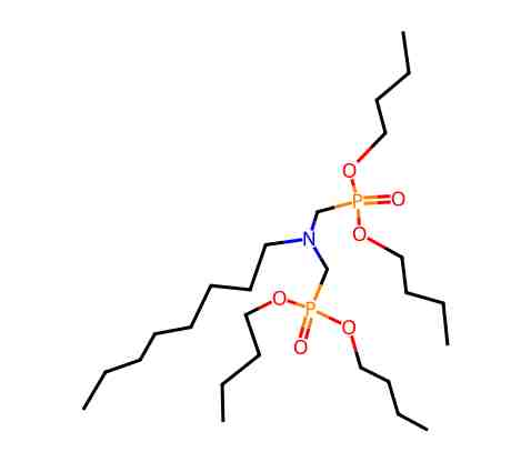 CCCCCCCCN(CP(=O)(OCCCC)OCCCC)CP(=O)(OCCCC)OCCCC